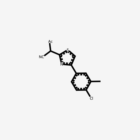 CC(=O)C(C#N)c1nc(-c2ccc(Cl)c(C)c2)cs1